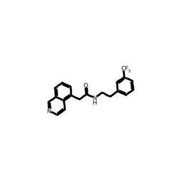 O=C(Cc1cccc2cnccc12)NCCc1cccc(C(F)(F)F)c1